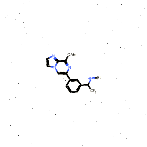 CCNC(c1cccc(-c2cn3ccnc3c(OC)n2)c1)C(F)(F)F